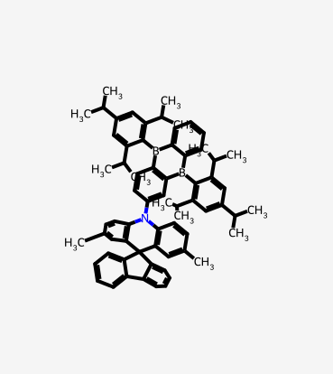 Cc1ccc2c(c1)C1(c3ccccc3-c3ccccc31)c1cc(C)ccc1N2c1ccc2c(c1)B(c1c(C(C)C)cc(C(C)C)cc1C(C)C)c1ccccc1B2c1c(C(C)C)cc(C(C)C)cc1C(C)C